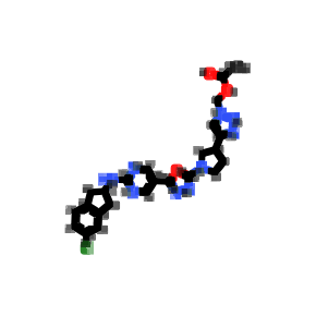 CC(C)(C)C(=O)OCn1cc(C2CCN(c3nnc(-c4cnc(NC5Cc6ccc(Cl)cc6C5)nc4)o3)C2)nn1